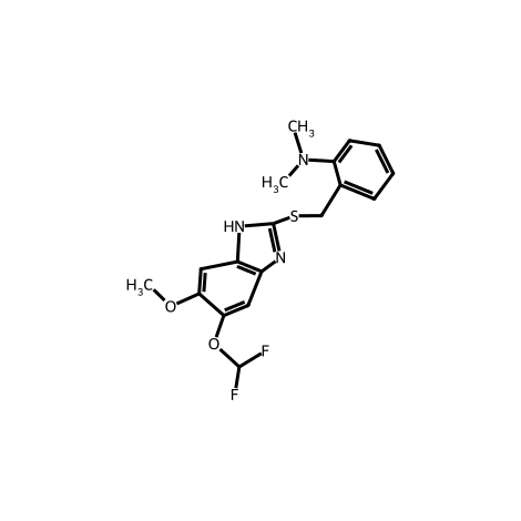 COc1cc2[nH]c(SCc3ccccc3N(C)C)nc2cc1OC(F)F